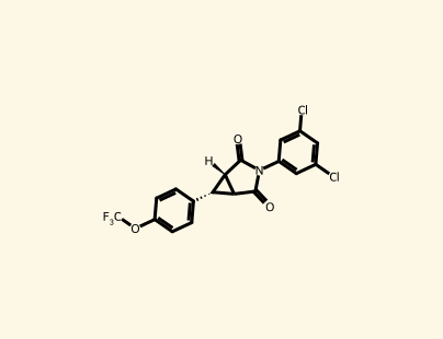 O=C1C2[C@@H](C(=O)N1c1cc(Cl)cc(Cl)c1)[C@H]2c1ccc(OC(F)(F)F)cc1